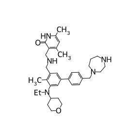 CCN(c1cc(-c2ccc(CN3CCCNCC3)cc2)cc(CNCc2c(C)cc(C)[nH]c2=O)c1C)C1CCOCC1